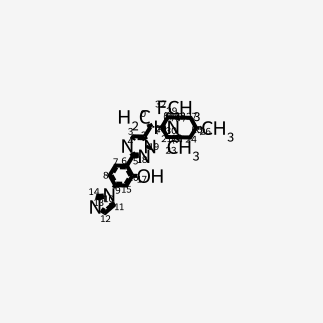 C=C(c1cnc(-c2ccc(-n3ccnc3)cc2O)nn1)[C@H]1C[C@]2(C)C[C@@H](C)C[C@@](C)(N2)[C@@H]1F